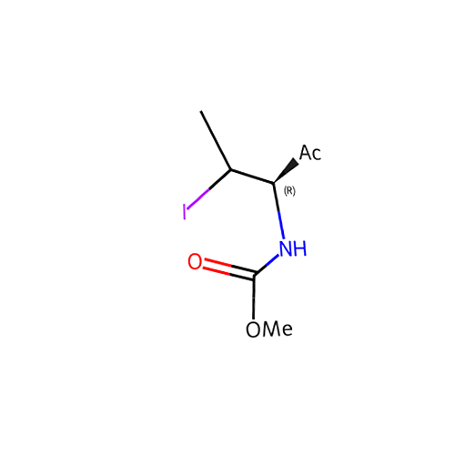 COC(=O)N[C@H](C(C)=O)C(C)I